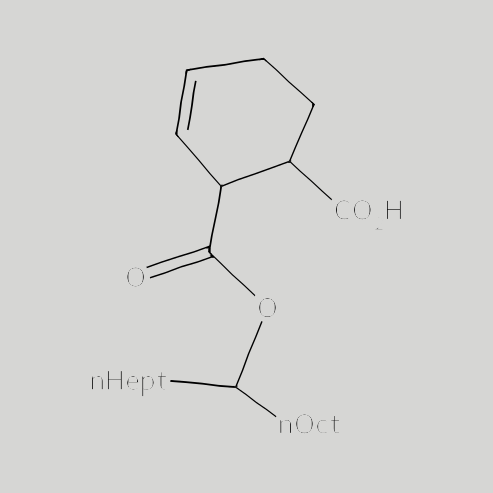 CCCCCCCCC(CCCCCCC)OC(=O)C1C=CCCC1C(=O)O